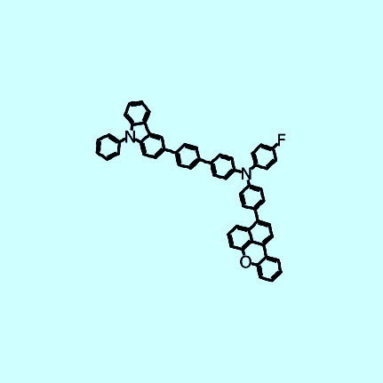 Fc1ccc(N(c2ccc(-c3ccc(-c4ccc5c(c4)c4ccccc4n5-c4ccccc4)cc3)cc2)c2ccc(-c3ccc4c5c(cccc35)Oc3ccccc3-4)cc2)cc1